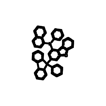 c1ccc(N(c2cccc3ccccc23)c2cc(C3(c4ccccc4)c4ccccc4-c4ccccc43)cc3oc4ccccc4c23)cc1